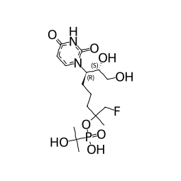 CC(CF)(CCC[C@H]([C@H](O)CO)n1ccc(=O)[nH]c1=O)OP(=O)(O)C(C)(C)O